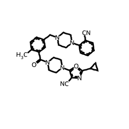 Cc1ccc(CN2CCN(c3ccccc3C#N)CC2)cc1C(=O)N1CCN(c2oc(C3CC3)nc2C#N)CC1